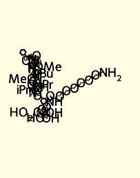 CC[C@H](C)[C@@H]([C@@H](CC(=O)N1CCC[C@H]1[C@H](OC)[C@@H](C)C(=O)N[C@H](C)[C@@H](O)c1ccccc1)OC)N(C)C(=O)[C@@H](NC(=O)[C@H](C(C)C)N(C)C(=O)OCc1ccc(O[C@@H]2O[C@H](C(=O)O)[C@@H](O)[C@H](O)[C@H]2O)c(NC(=O)CCOCCOCCOCCOCCOCCOCCN)c1)C(C)C